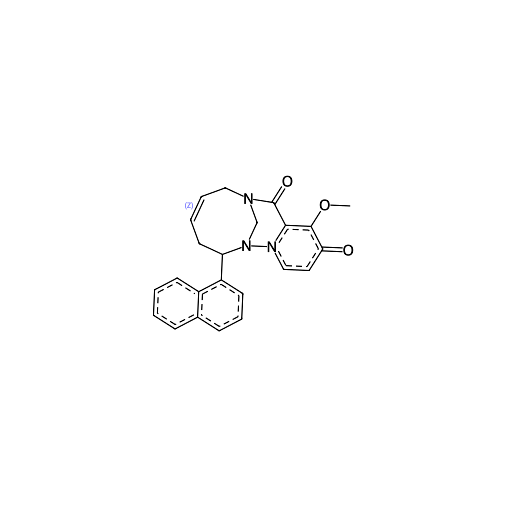 COc1c2n(ccc1=O)N1CN(C/C=C\CC1c1cccc3ccccc13)C2=O